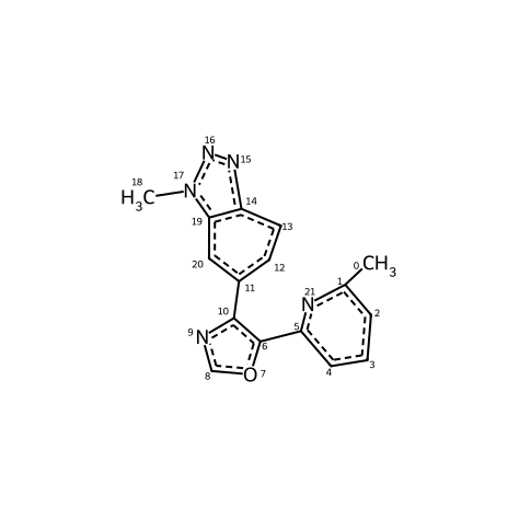 Cc1cccc(-c2ocnc2-c2ccc3nnn(C)c3c2)n1